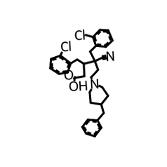 N#CC(CCN1CCC(Cc2ccccc2)CC1)(Cc1ccccc1Cl)C(CC(=O)O)Cc1ccccc1Cl